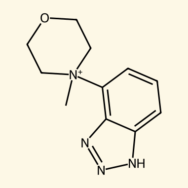 C[N+]1(c2cccc3[nH]nnc23)CCOCC1